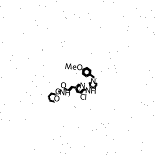 COc1ccc(CN2CC[C@@H](Nc3ncc(/C=C/C(=O)NOC4CCCCO4)cc3Cl)C2)cc1